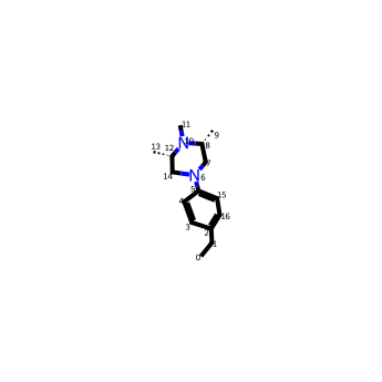 CCc1ccc(N2C[C@@H](C)N(C)[C@@H](C)C2)cc1